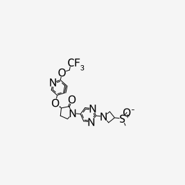 C[S+]([O-])C1CN(c2ncc(N3CC[C@@H](Oc4c#cc(OCC(F)(F)F)nc4)C3=O)cn2)C1